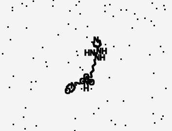 N=C(NCCCCCCS(=O)(=O)NOCCN1CCOCC1)Nc1ccncc1